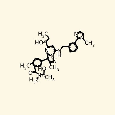 CC[C@H](O)c1cc(NCc2cccc(-c3nccn3C)c2)n2nc(C)c(-c3ccc(C)c(C(=O)N(C)[C@@H](C)O)c3)c2n1